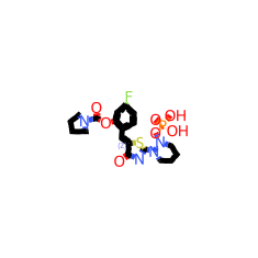 O=C1N=C(N2CCCCN2OP(=O)(O)O)S/C1=C\c1ccc(F)cc1OC(=O)N1CCCC1